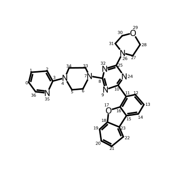 c1ccc(N2CCN(c3nc(-c4cccc5c4oc4ccccc45)nc(N4CCOCC4)n3)CC2)nc1